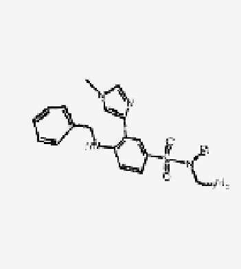 CCN(CP)S(=O)(=O)c1ccc(NCc2ccccc2)c(-c2cn(C)cn2)c1